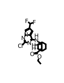 CCOC(=O)[C@@H]1C2CCC(CC2)[C@H]1Nc1nc(Cl)nn2cc(C(F)F)cc12